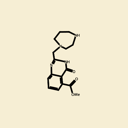 COC(=O)c1cccc2nc(CN3CCCNCC3)[nH]c(=O)c12